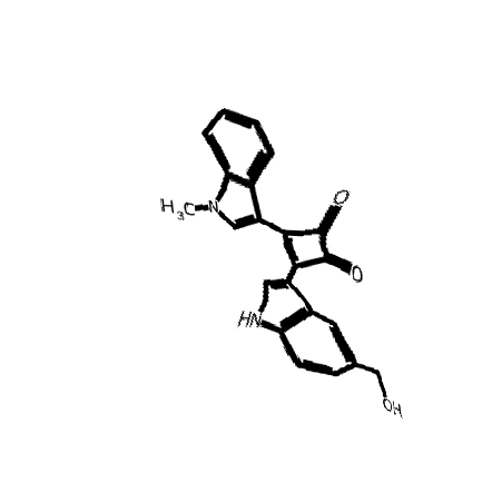 Cn1cc(-c2c(-c3c[nH]c4ccc(CO)cc34)c(=O)c2=O)c2ccccc21